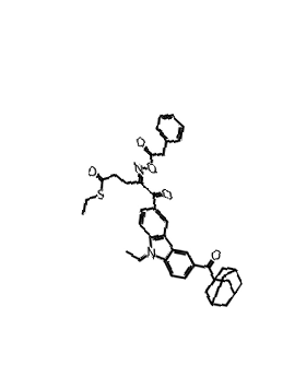 CCSC(=O)CC/C(=N/OC(=O)Cc1ccccc1)C(=O)c1ccc2c(c1)c1cc(C(=O)C34CC5CC(CC(C5)C3)C4)ccc1n2CC